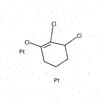 ClC1=C(Cl)C(Cl)CCC1.[Pt].[Pt]